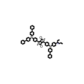 C=C/C=C(\C=C)c1ccc(N(c2ccc(C3=C4C(=O)N(C)C(c5ccc(N(c6ccc(-c7ccccc7)cc6)c6ccc(-c7ccccc7)cc6)cc5)=C4C(=O)N3C)cc2)c2ccc(-c3ccccc3)cc2)cc1